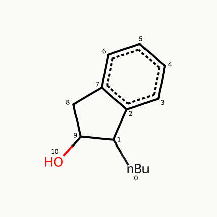 CCCCC1c2ccccc2CC1O